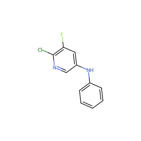 Fc1cc(Nc2ccccc2)cnc1Cl